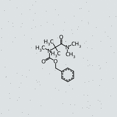 CN(C)C(=O)C(C)(C)N(C)C(=O)OCc1ccccc1